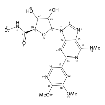 CCNC(=O)[C@@H]1OC(n2cnc3c(NC)nc(-c4cnc(OC)c(OC)c4)nc32)C(O)C1O